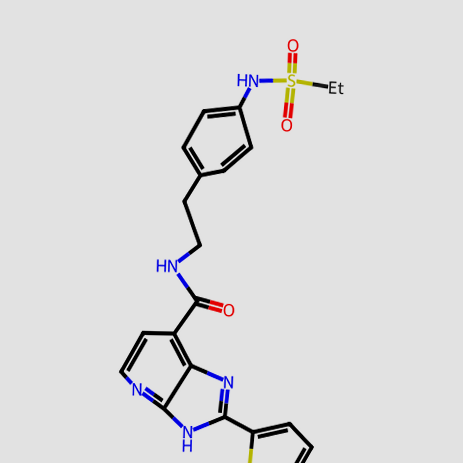 CCS(=O)(=O)Nc1ccc(CCNC(=O)c2ccnc3[nH]c(-c4cccs4)nc23)cc1